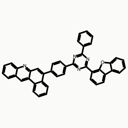 c1ccc(-c2nc(-c3ccc(-c4cc5nc6ccccc6cc5c5ccccc45)cc3)nc(-c3cccc4c3oc3ccccc34)n2)cc1